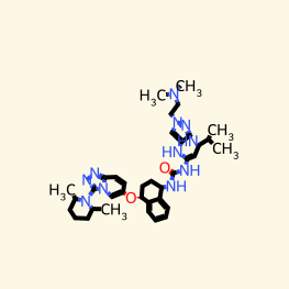 CC(C)C(=N)/C=C(/NC(=O)NC1CC[C@@H](Oc2ccc3nnc(N4C(C)CCCC4C)n3c2)c2ccccc21)Nc1cnn(CCN(C)C)c1